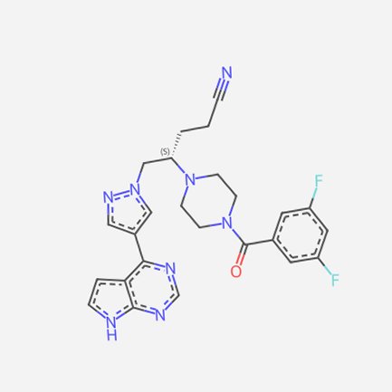 N#CCC[C@@H](Cn1cc(-c2ncnc3[nH]ccc23)cn1)N1CCN(C(=O)c2cc(F)cc(F)c2)CC1